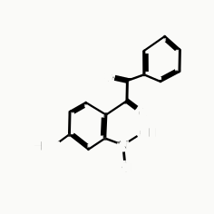 Cc1ccc(C(=O)C(=O)c2ccccc2)c(N(C)C)c1